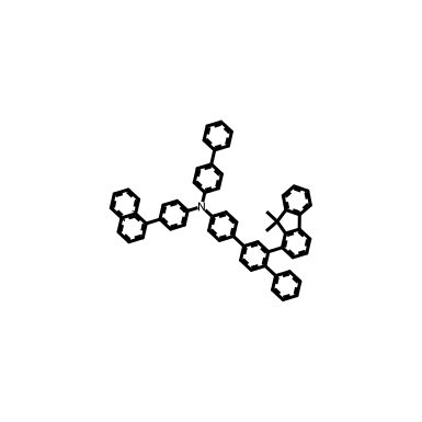 CC1(C)c2ccccc2-c2cccc(-c3cc(-c4ccc(N(c5ccc(-c6ccccc6)cc5)c5ccc(-c6cccc7ccccc67)cc5)cc4)ccc3-c3ccccc3)c21